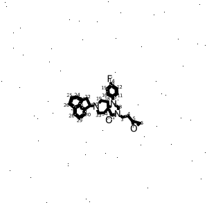 O=C1N(CCC2CO2)CN(c2ccc(F)cc2)C12CCN(C1Cc3cccc4cccc1c34)CC2